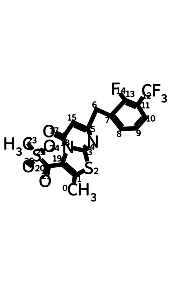 Cc1sc2nc(Cc3cccc(C(F)(F)F)c3F)cc(=O)n2c1C(=O)S(C)(=O)=O